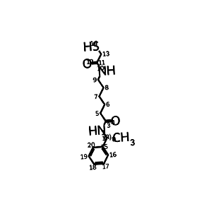 C[C@@H](NC(=O)CCCCCNC(=O)CS)c1ccccc1